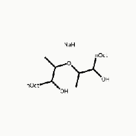 CCCCCCCCC(O)C(C)OC(C)C(O)CCCCCCCC.[NaH]